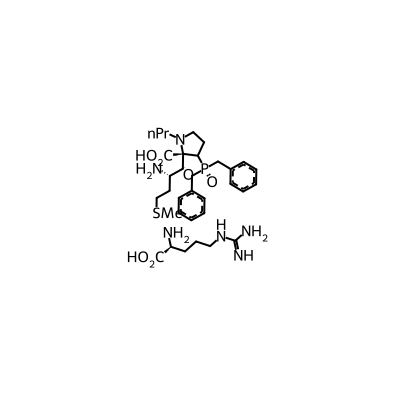 CCCN1CCC(P(=O)(Cc2ccccc2)Cc2ccccc2)[C@]1(C(=O)O)C(=O)[C@@H](N)CCSC.N=C(N)NCCC[C@H](N)C(=O)O